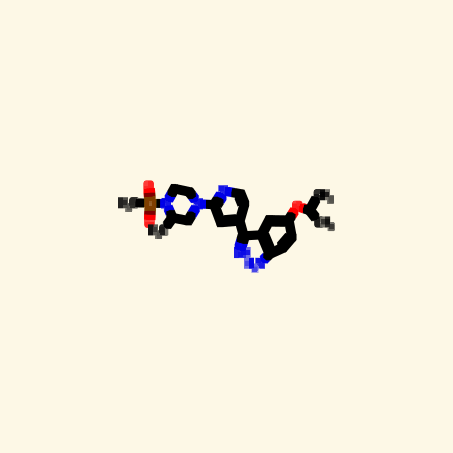 CC(C)Oc1ccc(N)c(C(=N)c2ccnc(N3CCN(S(C)(=O)=O)C(C)C3)c2)c1